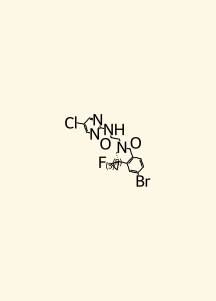 O=C(CN1C[C@@]2(C[C@@H]2F)c2cc(Br)ccc2C1=O)Nc1ncc(Cl)cn1